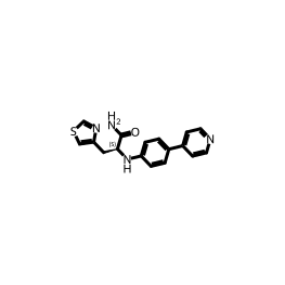 NC(=O)[C@H](Cc1cscn1)Nc1ccc(-c2ccncc2)cc1